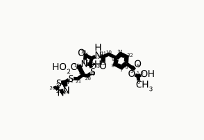 CC(O)OC(=O)c1ccc(CC(=O)NC2C(=O)N3C(C(=O)O)=C(CSc4nncs4)CS[C@@H]23)cc1